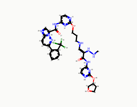 CNN/C(=C\NCCCOc1nccc(NC(=O)c2cnc3ccc(-c4ccccc4C(F)(F)F)nn23)n1)C(=O)Nc1ccnc(O[C@H]2CCOC2)n1